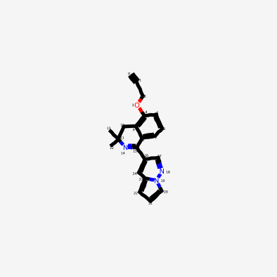 C#CCOc1cccc2c1CC(C)(C)N=C2c1cnn2cccc2c1